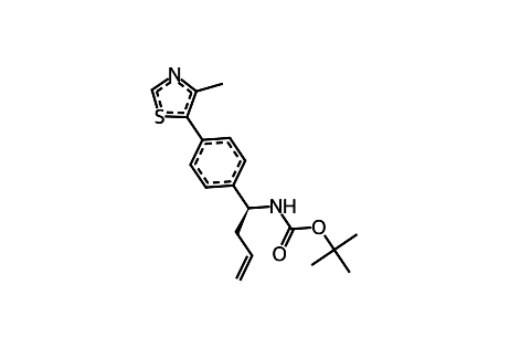 C=CC[C@H](NC(=O)OC(C)(C)C)c1ccc(-c2scnc2C)cc1